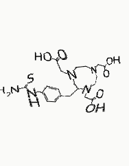 NC(=S)Nc1ccc(CC2CN(CC(=O)O)CCN(CC(=O)O)CCN2CC(=O)O)cc1